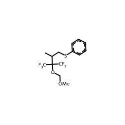 COCOC(C(C)CSc1ccccc1)(C(F)(F)F)C(F)(F)F